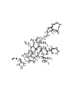 CC[C@@H](OC(=O)[C@H](C)C(=O)[C@H](C)[C@@H](O[C@@H]1O[C@H](C)C[C@H](N(C)C)[C@H]1OC(=O)c1ccccc1)C(C)(C[C@@H](C)C(C)=O)OC/C=C/c1cnc2ccccc2c1)[C@@]1(C)OC(=O)N(CC[C@@H]2CCCN2C)[C@@H]1C